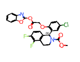 COC(=O)N1CCc2c(ccc(F)c2F)[C@H]1c1cc(Cl)ccc1OCC(=O)Oc1nc2ccccc2o1